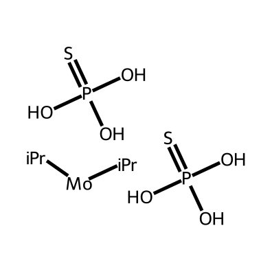 C[CH](C)[Mo][CH](C)C.OP(O)(O)=S.OP(O)(O)=S